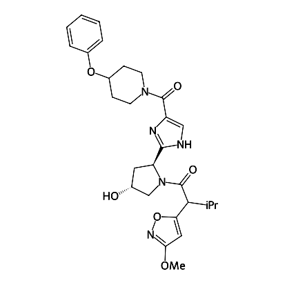 COc1cc(C(C(=O)N2C[C@H](O)C[C@H]2c2nc(C(=O)N3CCC(Oc4ccccc4)CC3)c[nH]2)C(C)C)on1